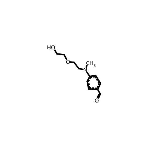 CN(CCOCCO)c1ccc(C=O)cc1